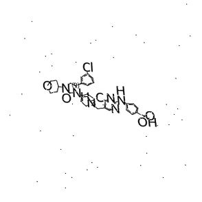 Cc1nc(Nc2ccc(C(=O)O)cc2)ncc1CN1CCC(N2C(=O)N(C3CCOCC3)C[C@H]2c2cccc(Cl)c2)CC1